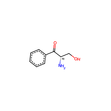 N[C@@H](CO)C(=O)c1ccccc1